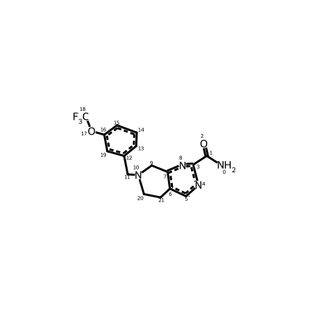 NC(=O)c1n[c]c2c(n1)CN(Cc1cccc(OC(F)(F)F)c1)CC2